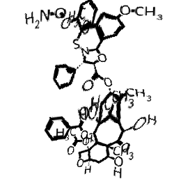 COc1ccc(C2O[C@@H](C(=O)O[C@H]3C[C@@]4(O)[C@@H](OC(=O)c5ccccc5)[C@@H]5[C@]6(OC(C)=O)CO[C@@H]6C[C@H](O)[C@@]5(C)C(=O)[C@H](O)C(=C3C)C4(C)C)[C@H](c3ccccc3)N2Sc2ccccc2OON)c(OC)c1